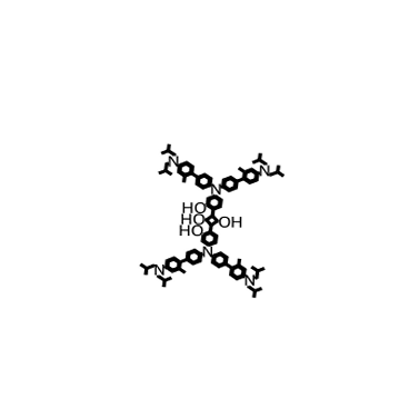 Cc1cc(N(CC(C)C)CC(C)C)ccc1-c1ccc(N(c2ccc(-c3ccc(N(CC(C)C)CC(C)C)cc3C)cc2)c2ccc(C3C(O)C(c4ccc(N(c5ccc(-c6ccc(N(CC(C)C)CC(C)C)cc6C)cc5)c5ccc(-c6ccc(N(CC(C)C)CC(C)C)cc6C)cc5)cc4O)C3O)c(O)c2)cc1